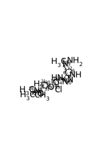 CN(CN)CC1=Cc2c(ncnc2Nc2ccc(Oc3cccc(C(=O)NC(C)(C)C)c3)c(Cl)c2)NCC1